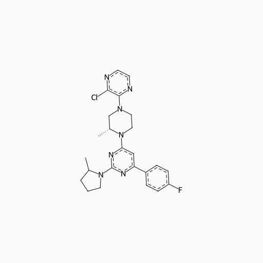 CC1CCCN1c1nc(-c2ccc(F)cc2)cc(N2CCN(c3nccnc3Cl)C[C@H]2C)n1